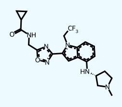 CN1CC[C@@H](Nc2cccc3c2cc(-c2noc(CNC(=O)C4CC4)n2)n3CC(F)(F)F)C1